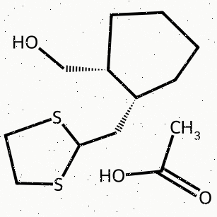 CC(=O)O.OC[C@@H]1CCCC[C@@H]1CC1SCCS1